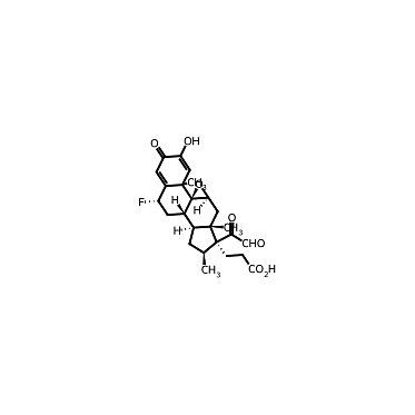 C[C@H]1C[C@H]2[C@@H]3C[C@H](F)C4=CC(=O)C(O)=C[C@]4(C)[C@@]34O[C@H]4C[C@]2(C)[C@@]1(CCC(=O)O)C(=O)C=O